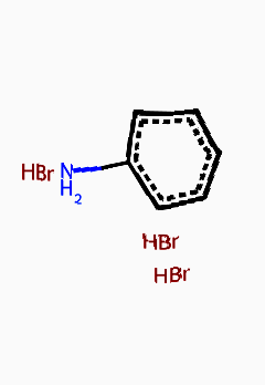 Br.Br.Br.Nc1ccccc1